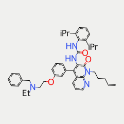 C=CCCCn1c(=O)c(NC(=O)Nc2c(C(C)C)cccc2C(C)C)c(-c2cccc(OCCN(CC)Cc3ccccc3)c2)c2cccnc21